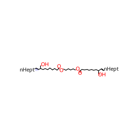 CCCCCCCC=CC(CO)CCCCCCCC(=O)OCCCCCCOC(=O)CCCCCCCC(/C=C/CCCCCCC)CO